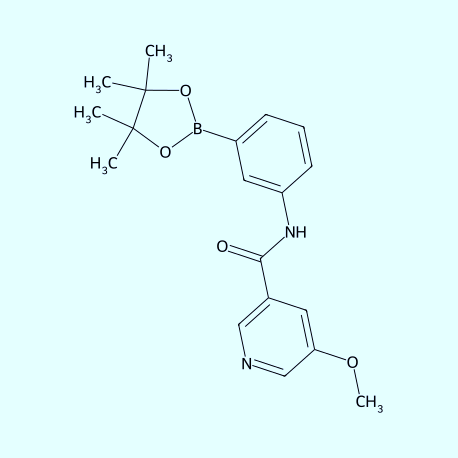 COc1cncc(C(=O)Nc2cccc(B3OC(C)(C)C(C)(C)O3)c2)c1